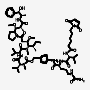 CC[C@H](C)[C@@H]([C@@H](CC(=O)N1CCCC1[C@H](OC)[C@@H](C)C(=O)N[C@H](C)[C@@H](O)c1ccccc1)OC)N(C)C(=O)[C@@H](NC(=O)[C@H](C(C)C)N(C)C(=O)OCc1ccc(NC(=O)[C@H](CCCNC(N)=O)NC(=O)[C@H](NC(=O)CCCCCN2C(=O)C=CC2=O)C(C)C)cc1)C(C)C